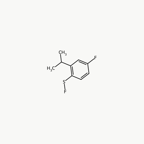 CC(C)c1cc(F)ccc1SF